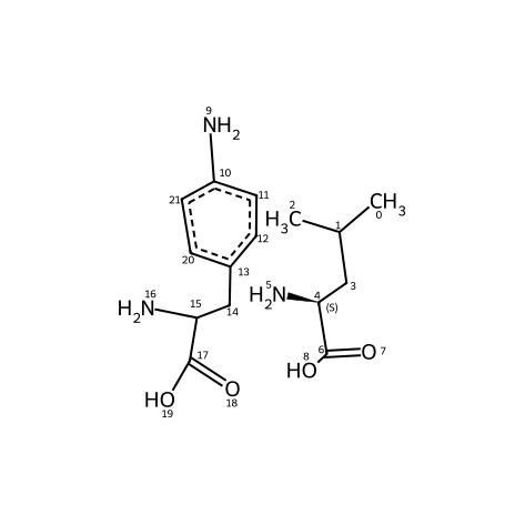 CC(C)C[C@H](N)C(=O)O.Nc1ccc(CC(N)C(=O)O)cc1